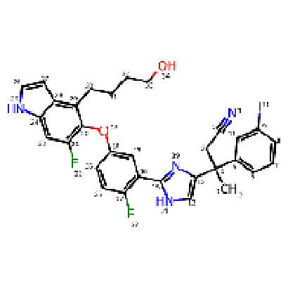 CC(CC#N)(c1cccc(I)c1)c1c[nH]c(-c2cc(Oc3c(F)cc4[nH]ccc4c3CCCCO)ccc2F)n1